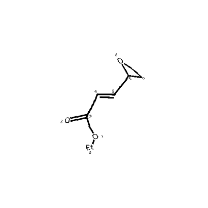 CCOC(=O)C=CC1CO1